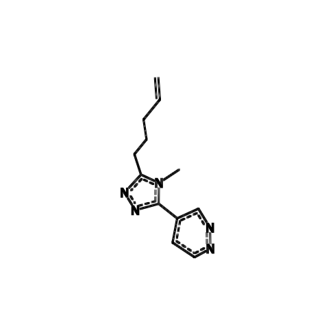 C=CCCCc1nnc(-c2ccnnc2)n1C